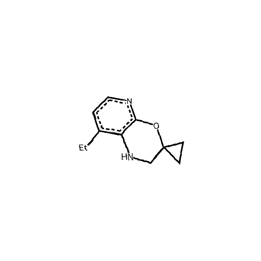 CCc1ccnc2c1NCC1(CC1)O2